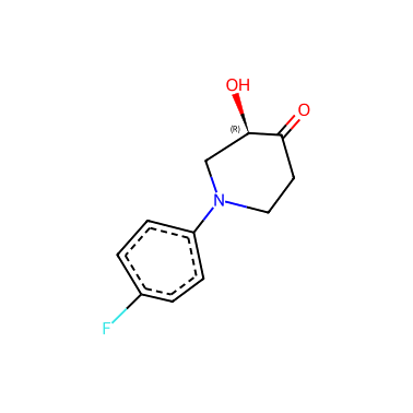 O=C1CCN(c2ccc(F)cc2)C[C@H]1O